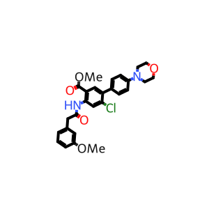 COC(=O)c1cc(-c2ccc(N3CCOCC3)cc2)c(Cl)cc1NC(=O)Cc1cccc(OC)c1